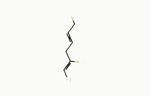 C/C=C(\S)CC=CCS